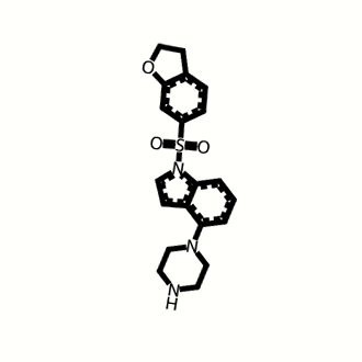 O=S(=O)(c1ccc2c(c1)OCC2)n1ccc2c(N3CCNCC3)cccc21